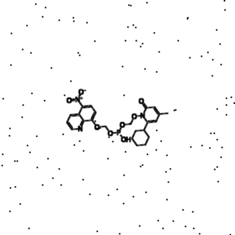 Cc1cc(C2CCCCC2)n(OCOP(O)OCOc2ccc([N+](=O)[O-])c3cccnc23)c(=O)c1